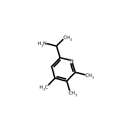 Cc1cc(C(C)N)nc(C)c1C